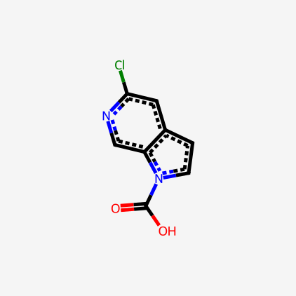 O=C(O)n1ccc2cc(Cl)ncc21